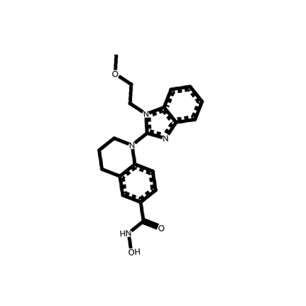 COCCn1c(N2CCCc3cc(C(=O)NO)ccc32)nc2ccccc21